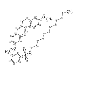 CCCCCCCCCCCCOS(=O)(=O)c1ccccc1.COc1ccc2c(c1)CCc1cc3ccc(OC)cc3[o+]c1-2